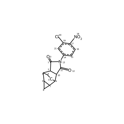 O=C1C2C3CCC(C4CC43)C2C(=O)N1c1ccc([N+](=O)[O-])c(Cl)c1